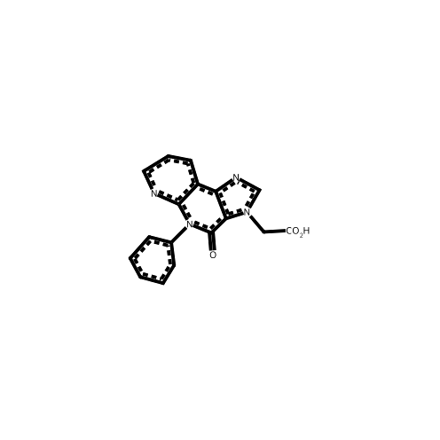 O=C(O)Cn1cnc2c3cccnc3n(-c3ccccc3)c(=O)c21